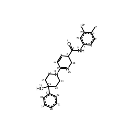 Cc1ccc(NC(=O)C2C=CC(N3CCC(O)(c4ccccc4)CC3)=NC2)cc1I